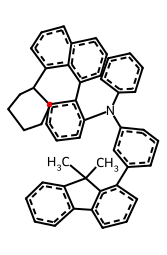 CC1(C)c2ccccc2-c2cccc(-c3cccc(N(c4ccccc4)c4ccccc4-c4cccc5cccc(C6CCCCC6)c45)c3)c21